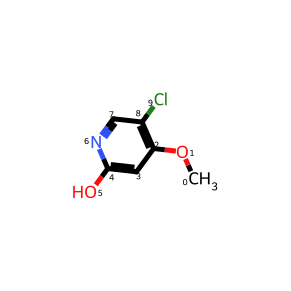 COc1cc(O)ncc1Cl